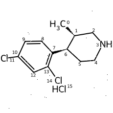 C[C@H]1CNCC[C@H]1c1ccc(Cl)cc1Cl.Cl